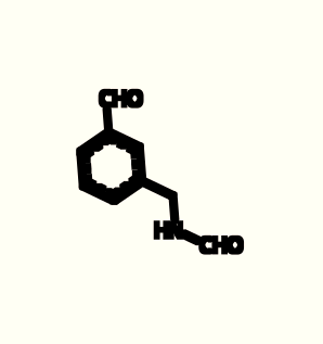 O=CNCc1cccc(C=O)c1